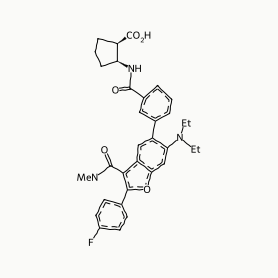 CCN(CC)c1cc2oc(-c3ccc(F)cc3)c(C(=O)NC)c2cc1-c1cccc(C(=O)N[C@H]2CCC[C@H]2C(=O)O)c1